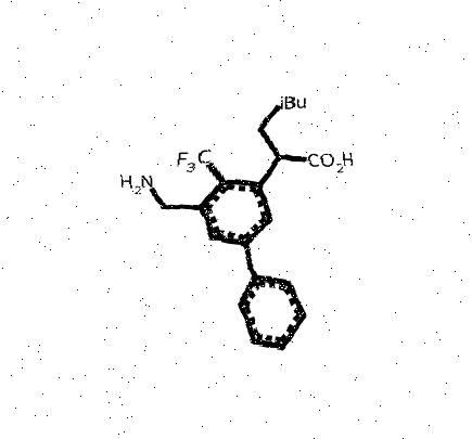 CCC(C)CC(C(=O)O)c1cc(-c2ccccc2)cc(CN)c1C(F)(F)F